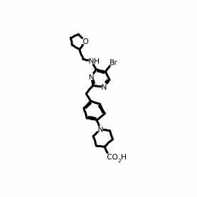 O=C(O)C1CCN(c2ccc(Cc3ncc(Br)c(NCC4CCCO4)n3)cc2)CC1